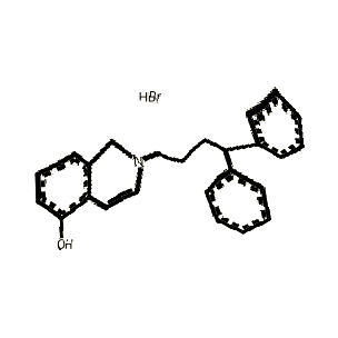 Br.Oc1cccc2c1C=CN(CCCC(c1ccccc1)c1ccccc1)C2